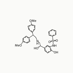 COc1ccc(C(CNC[C@H](O)c2ccc(O)c(NS(=O)(=O)c3ccccc3)c2)c2ccc(OC)cc2)cc1